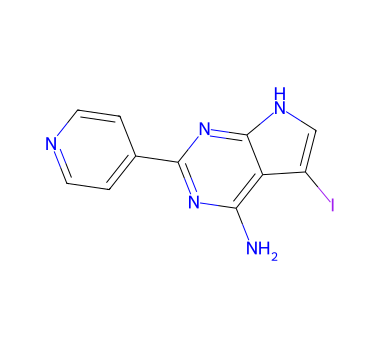 Nc1nc(-c2ccncc2)nc2[nH]cc(I)c12